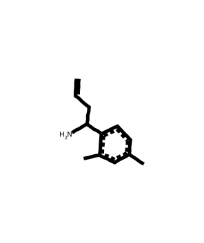 C=CCC(N)c1ccc(C)cc1C